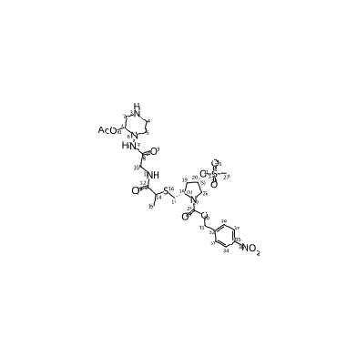 CC(=O)OC1CNCCN1NC(=O)CNC(=O)C(C)SC[C@@H]1C[C@H](OS(C)(=O)=O)CN1C(=O)OCc1ccc([N+](=O)[O-])cc1